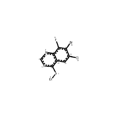 CCSc1ncnc2c(F)c(Br)c(Cl)cc12